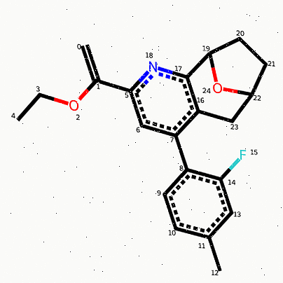 C=C(OCC)c1cc(-c2ccc(C)cc2F)c2c(n1)C1CCC(C2)O1